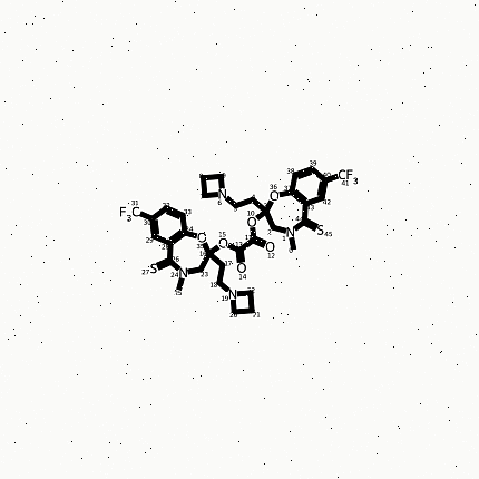 CN1CC(CCN2CCC2)(OC(=O)C(=O)OC2(CCN3CCC3)CN(C)C(=S)c3cc(C(F)(F)F)ccc3O2)Oc2ccc(C(F)(F)F)cc2C1=S